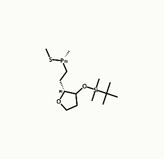 CS[P@](C)CC[C@H]1OCCC1O[Si](C)(C)C(C)(C)C